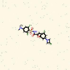 CC(C)N(C)c1cc(F)c(S(=O)(=O)NC(=O)c2cc3c(F)cc(N4CC(F)C4)cc3o2)c(F)c1